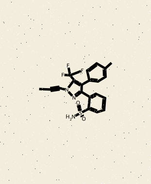 CC#Cn1nc(-c2ccccc2S(N)(=O)=O)c(-c2ccc(C)cc2)c1C(F)(F)F